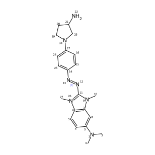 CN(C)c1ccc2c(c1)n(C)c(/N=N/c1ccc(N3CCC(N)C3)cc1)[n+]2C